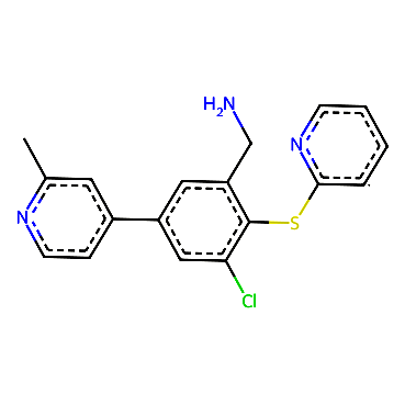 Cc1cc(-c2cc(Cl)c(Sc3[c]cccn3)c(CN)c2)ccn1